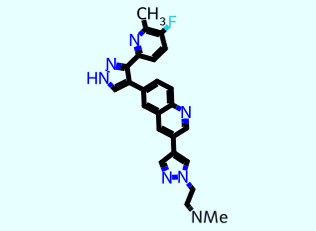 CNCCn1cc(-c2cnc3ccc(-c4c[nH]nc4-c4ccc(F)c(C)n4)cc3c2)cn1